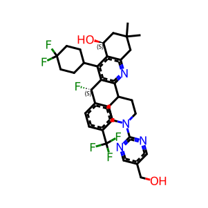 CC1(C)Cc2nc(C3CCN(c4ncc(CO)cn4)CC3)c([C@@H](F)c3ccc(C(F)(F)F)cc3)c(C3CCC(F)(F)CC3)c2[C@@H](O)C1